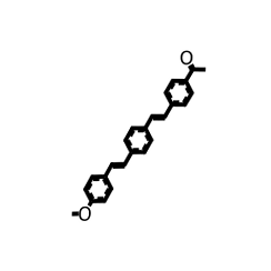 COc1ccc(/C=C/c2ccc(/C=C/c3ccc(C(C)=O)cc3)cc2)cc1